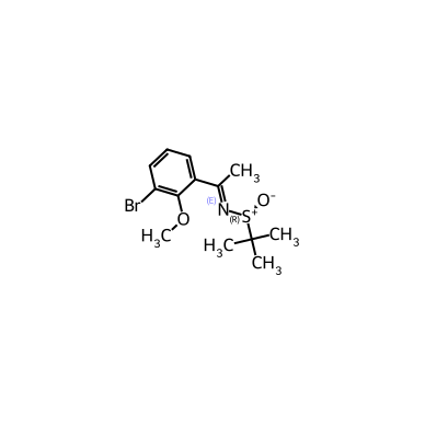 COc1c(Br)cccc1/C(C)=N/[S@@+]([O-])C(C)(C)C